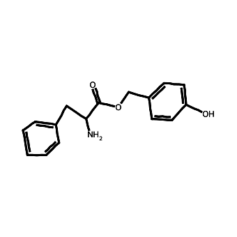 NC(Cc1ccccc1)C(=O)OCc1ccc(O)cc1